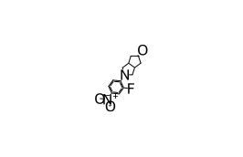 O=C1CC2CN(c3ccc([N+](=O)[O-])cc3F)CC2C1